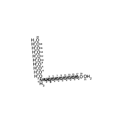 N.N.O.O.O.O.O.O.O.O.O.O.O.O.O.O.O.O.O.O.O.O